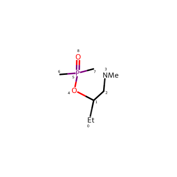 CCC(CNC)OP(C)(C)=O